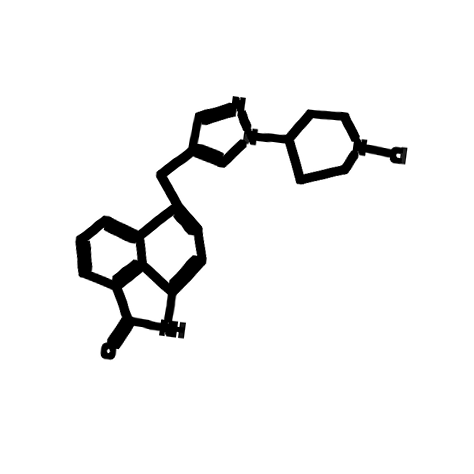 O=C1Nc2ccc(Cc3cnn(C4CCN(Cl)CC4)c3)c3cccc1c23